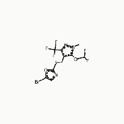 Cn1nc(C(F)(F)F)c(CSc2ncc(Br)o2)c1OC(F)F